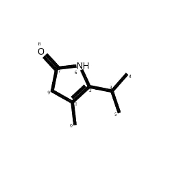 CC1=C(C(C)C)NC(=O)C1